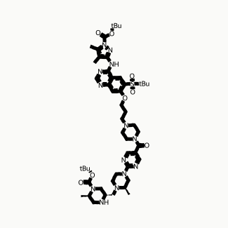 Cc1c(Nc2ncnc3cc(OCCCN4CCN(C(=O)c5cnc(N6CCN(C[C@H]7CN(C(=O)OC(C)(C)C)[C@H](C)CN7)[C@H](C)C6)nc5)CC4)c(S(=O)(=O)C(C)(C)C)cc23)nn(C(=O)OC(C)(C)C)c1C